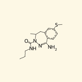 CCCNC(=O)N1N=C(N)c2ccc(SC)cc2CC1C